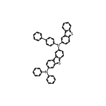 c1ccc(-c2ccc(N(c3ccc4sc5ccccc5c4c3)c3ccc4sc5cc(N(c6ccccc6)c6ccccc6)ccc5c4c3)cc2)cc1